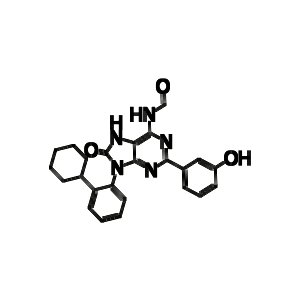 O=CNc1nc(-c2cccc(O)c2)nc2c1[nH]c(=O)n2-c1ccccc1C1CCCCC1